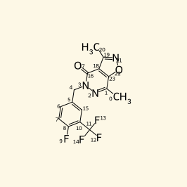 Cc1nn(Cc2ccc(F)c(C(F)(F)F)c2)c(=O)c2c(C)noc12